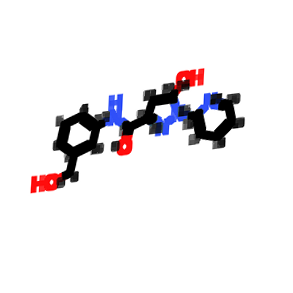 O=C(Nc1cccc(CO)c1)c1cc(O)n(-c2ccccn2)n1